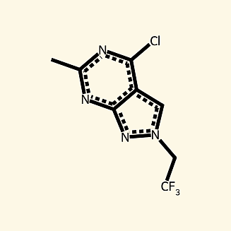 Cc1nc(Cl)c2cn(CC(F)(F)F)nc2n1